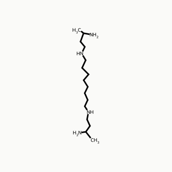 CC(N)CCNCCCCCCCCNCCC(C)N